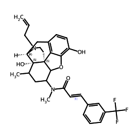 C=CCN1CC[C@]23c4c5ccc(O)c4OC2C(N(C)C(=O)/C=C/c2cccc(C(F)(F)F)c2)CC(C)[C@@]3(O)[C@H]1C5